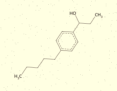 CCCCCc1ccc(C(O)CC)cc1